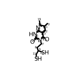 Cc1cc2c(=O)n(CCC(S)CS)c(=O)[nH]c2nc1C